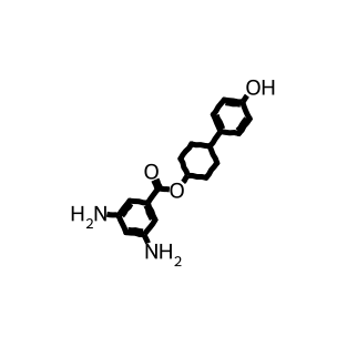 Nc1cc(N)cc(C(=O)OC2CCC(c3ccc(O)cc3)CC2)c1